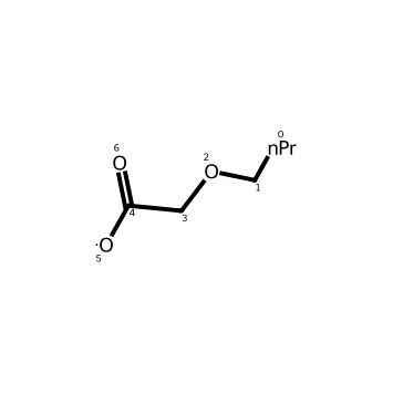 CCCCOCC([O])=O